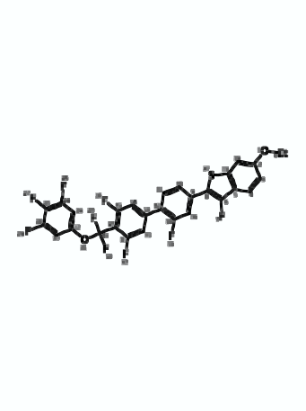 CCOc1ccc2c(F)c(-c3ccc(-c4cc(F)c(C(F)(F)Oc5cc(F)c(F)c(F)c5)c(F)c4)c(F)c3)sc2c1